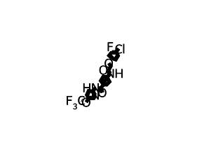 O=C(COc1ccc(Cl)c(F)c1)NC12CCC(C(=O)Nc3ccc(OC(F)(F)F)cn3)(CC1)CC2